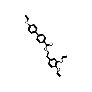 C=COc1ccc(-c2ccc(C(=O)OCCc3ccc(OC=C)c(OC=C)c3)cc2)cc1